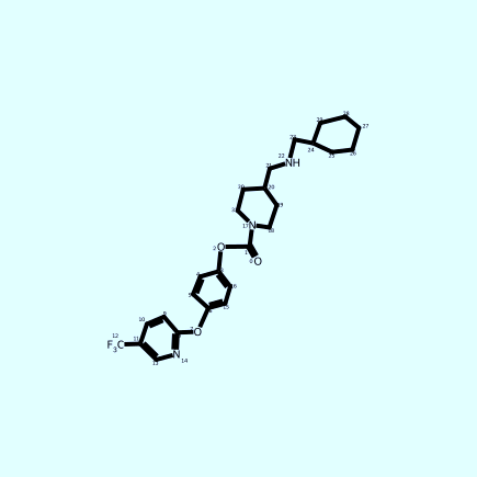 O=C(Oc1ccc(Oc2ccc(C(F)(F)F)cn2)cc1)N1CCC(CNCC2CCCCC2)CC1